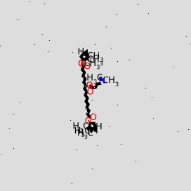 CN(C)CCCC(=O)OC(CCCCCCCC(=O)O[C@H]1C[C@H]2CC2(C)C1(C)C)CCCCCCCC(=O)O[C@H]1C[C@H]2CC2(C)C1(C)C